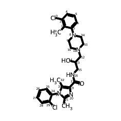 Cc1c(Cl)cccc1N1CCN(CC(O)CNC(=O)c2nc(C)n(-c3ccccc3Cl)c2C)CC1